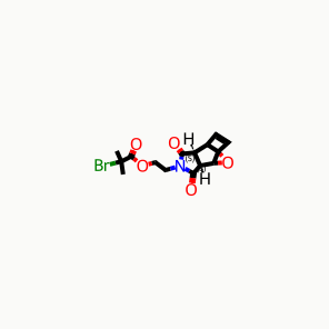 CC(C)(Br)C(=O)OCCN1C(=O)[C@@H]2C3OC34C=CC4[C@@H]2C1=O